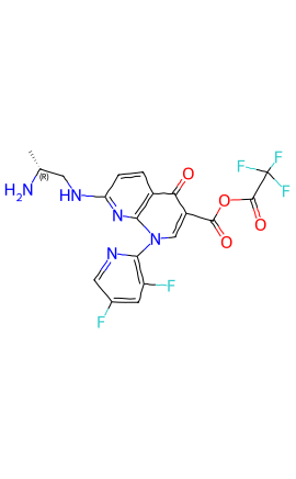 C[C@@H](N)CNc1ccc2c(=O)c(C(=O)OC(=O)C(F)(F)F)cn(-c3ncc(F)cc3F)c2n1